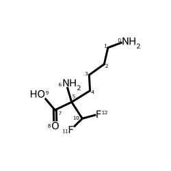 NCCCCC(N)(C(=O)O)C(F)F